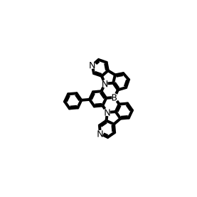 c1ccc(-c2cc3c4c(c2)-n2c5cnccc5c5cccc(c52)B4c2cccc4c5ccncc5n-3c24)cc1